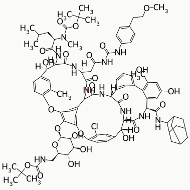 COCCc1ccc(NC(=O)NC(=O)C[C@@H]2NC(=O)[C@H](NC(=O)[C@@H](CC(C)C)N(C)C(=O)OC(C)(C)C)[C@H](O)c3ccc(c(C)c3)Oc3cc4cc(c3O[C@@H]3O[C@H](CNC(=O)OC(C)(C)C)[C@@H](O)[C@H](O)[C@H]3O)Oc3ccc(cc3Cl)[C@@H](O)[C@@H]3NC(=O)[C@H](NC(=O)[C@@H]4NC2=O)c2ccc(O)c(c2)-c2c(C)cc(O)cc2[C@@H](C(=O)NC2C4CC5CC(C4)CC2C5)NC3=O)cc1